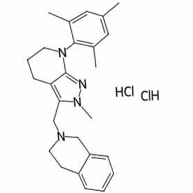 Cc1cc(C)c(N2CCCc3c2nn(C)c3CN2CCc3ccccc3C2)c(C)c1.Cl.Cl